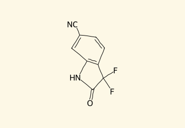 N#Cc1ccc2c(c1)NC(=O)C2(F)F